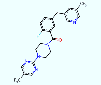 O=C(c1cc(Cc2cncc(C(F)(F)F)c2)ccc1F)N1CCN(c2ncc(C(F)(F)F)cn2)CC1